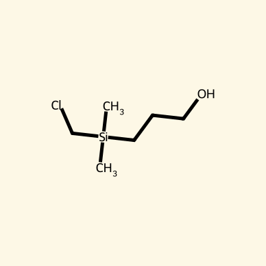 C[Si](C)(CCl)CCCO